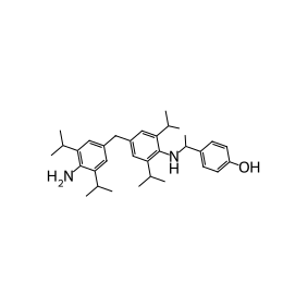 CC(C)c1cc(Cc2cc(C(C)C)c(NC(C)c3ccc(O)cc3)c(C(C)C)c2)cc(C(C)C)c1N